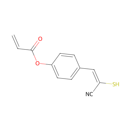 C=CC(=O)Oc1ccc(/C=C(/S)C#N)cc1